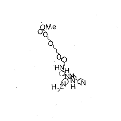 COC(=O)COCCCOCCCCCOc1cccc(CNc2cccc(NC3(c4nnc(-c5ccncc5)[nH]4)CCN(C)CC3)c2)c1